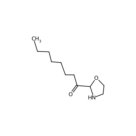 CCCCCCCC(=O)C1NCCO1